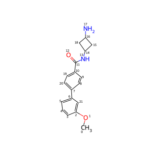 COc1cccc(-c2ccc(C(=O)NC3CC(N)C3)cc2)c1